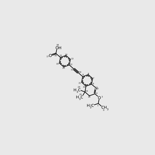 CC(C)OC1=Nc2ccc(C#Cc3ccc(C(=O)O)cc3)cc2C(C)(C)C1